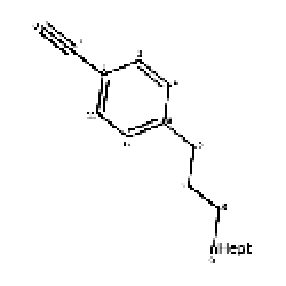 [C]#Cc1ccc(CCCCCCCCCC)cc1